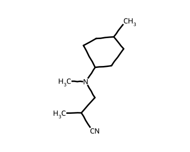 CC(C#N)CN(C)C1CCC(C)CC1